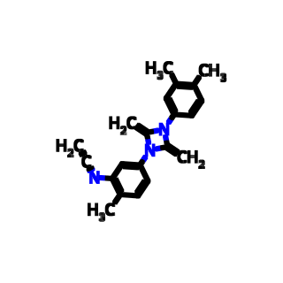 C=C=Nc1cc(-n2c(=C)n(-c3ccc(C)c(C)c3)c2=C)ccc1C